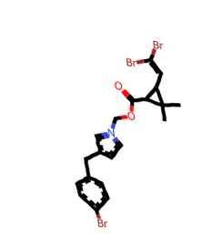 CC1(C)C(C=C(Br)Br)C1C(=O)OCn1ccc(Cc2ccc(Br)cc2)c1